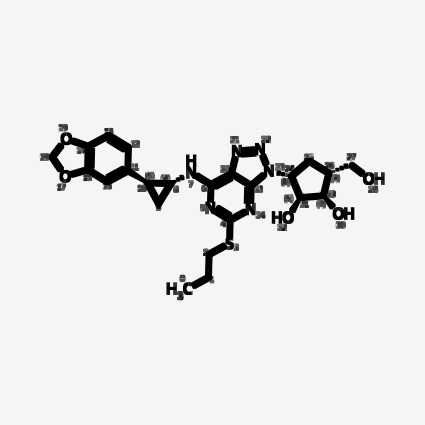 CCCSc1nc(N[C@@H]2C[C@H]2c2ccc3c(c2)OCO3)c2nnn([C@@H]3C[C@H](CO)[C@@H](O)[C@H]3O)c2n1